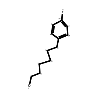 [O]CCCCCCc1ccc(F)cc1